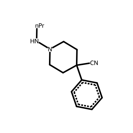 CCCNN1CCC(C#N)(c2ccccc2)CC1